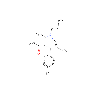 COCCN1C=C([N+](=O)[O-])C(c2ccc([N+](=O)[O-])cc2)C(C(=O)OC)=C1C